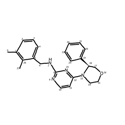 Cc1cccc(CNc2nccc(N3CCOC[C@@H]3c3ccccc3)n2)c1C